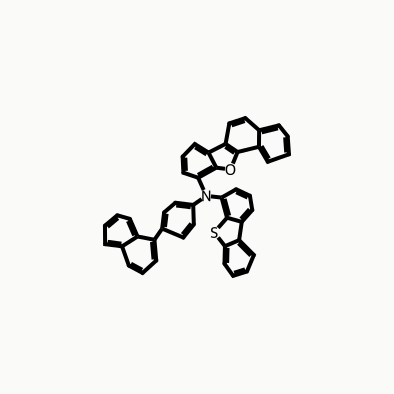 c1ccc2c(-c3ccc(N(c4cccc5c4oc4c6ccccc6ccc54)c4cccc5c4sc4ccccc45)cc3)cccc2c1